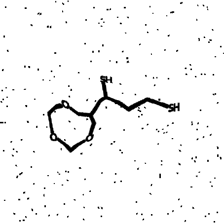 SCCC(S)C1OCOCO1